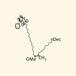 CCCCCCCCCCCCCCCCCC[C@H](C)[C@@H](CCCCCCCCCCCCCCS(=O)(=O)c1nnnn1-c1ccccc1)OC